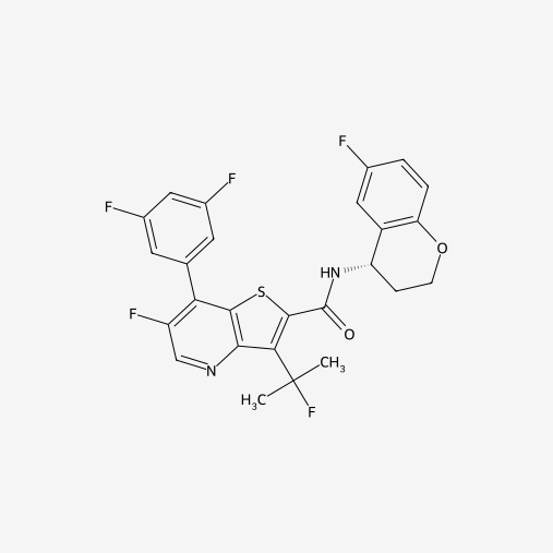 CC(C)(F)c1c(C(=O)N[C@H]2CCOc3ccc(F)cc32)sc2c(-c3cc(F)cc(F)c3)c(F)cnc12